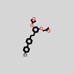 CCc1ccc(-c2ccc(CCc3cc(OCC4CO4)cc(OC4COC4)c3)cc2)cc1